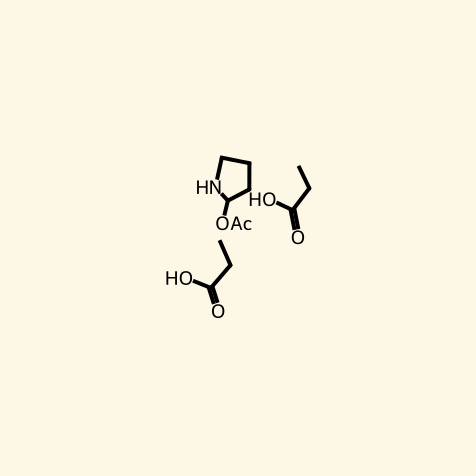 CC(=O)OC1CCCN1.CCC(=O)O.CCC(=O)O